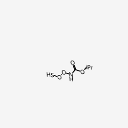 CC(C)OC(=O)NOOS